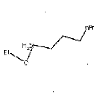 CCCCCC[SiH2]OCC